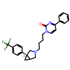 O=c1nc(-c2ccccc2)ccn1CCCCN1CC2C[C@]2(c2ccc(C(F)(F)F)cc2)C1